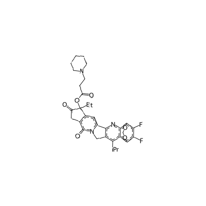 CCC1(OC(=O)CCN2CCCCC2)C(=O)Cc2c1cc1n(c2=O)Cc2c-1nc1c3c(F)c(F)c(c1c2C(C)C)OCO3